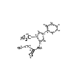 CC(C)(C)OC(=O)Nc1sc(-c2ccccn2)cc1C(=O)O